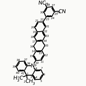 CC1(C)c2ccccc2N(c2ccc3c(c2)Cc2cc4ccc(-c5cc(C#N)cc(C#N)c5)cc4cc2C3)c2ccccc21